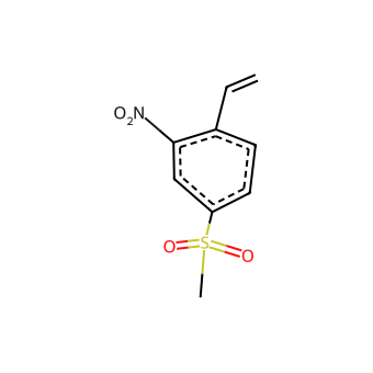 C=Cc1ccc(S(C)(=O)=O)cc1[N+](=O)[O-]